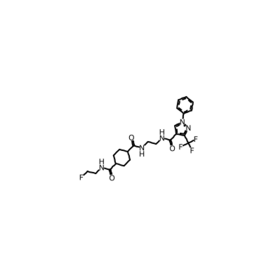 O=C(NCCNC(=O)C1CCC(C(=O)NCCF)CC1)c1cn(-c2ccccc2)nc1C(F)(F)F